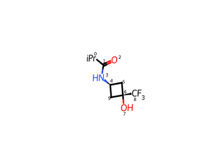 CC(C)C(=O)N[C@H]1C[C@@](O)(C(F)(F)F)C1